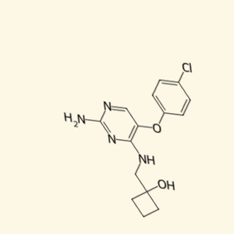 Nc1ncc(Oc2ccc(Cl)cc2)c(NCC2(O)CCC2)n1